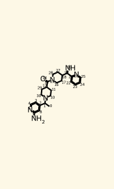 CC(c1ccnc(N)c1)N1CCC(C(=O)N2CCC(C(=N)c3ccccn3)CC2)CC1